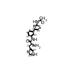 CC(=O)Nc1nc(-c2cccc(NC(=O)[C@H](N)Cc3c[nH]cn3)c2)cs1